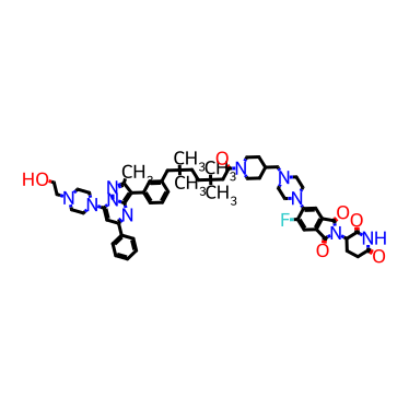 Cc1nn2c(N3CCN(CCO)CC3)cc(-c3ccccc3)nc2c1-c1cccc(CC(C)(C)CCC(C)(C)CC(=O)N2CCC(CN3CCN(c4cc5c(cc4F)C(=O)N(C4CCC(=O)NC4=O)C5=O)CC3)CC2)c1